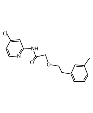 Cc1cccc(CCOCC(=O)Nc2cc(Cl)ccn2)c1